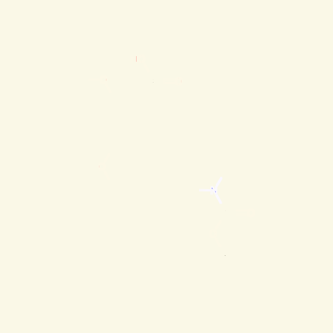 COc1cc(C=C2CCN(C(=O)OC(C)(C)C)CC2)c(C(=O)O)c(OC)c1